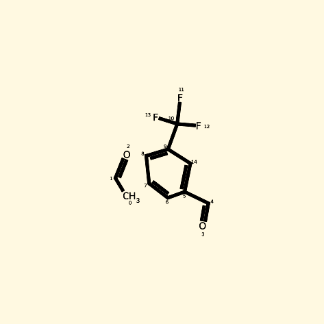 CC=O.O=Cc1cccc(C(F)(F)F)c1